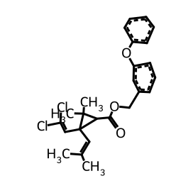 CC(C)=CC1(C=C(Cl)Cl)C(C(=O)OCc2cccc(Oc3ccccc3)c2)C1(C)C